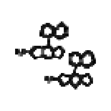 CC1=Cc2c(cc3c(c2-c2cccc4ccccc24)CCC3)C1.CC1=Cc2cc3c(c(-c4cccc5ccccc45)c2C1)CCC3